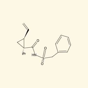 C=C[C@@H]1C[C@@]1(C(=O)NS(=O)(=O)Cc1ccccc1)C(C)C